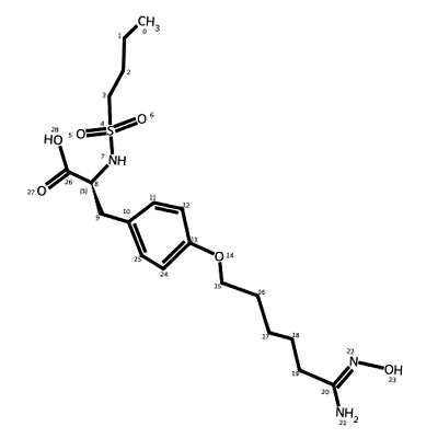 CCCCS(=O)(=O)N[C@@H](Cc1ccc(OCCCCCC(N)=NO)cc1)C(=O)O